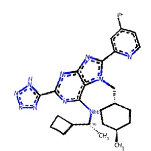 CC(C)c1ccnc(-c2nc3nc(-c4nnn[nH]4)nc(N[C@H](C)C4CCC4)c3n2C[C@H]2CC[C@H](C)CC2)c1